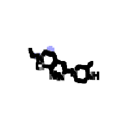 C/C=N\C=C/c1cc(N2CCNC(C)C2)nnc1Cl